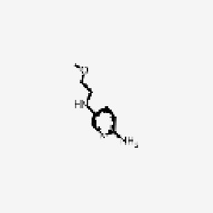 COCCNc1ccc(N)nc1